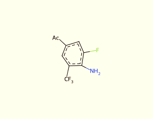 CC(=O)c1cc(F)c(N)c(C(F)(F)F)c1